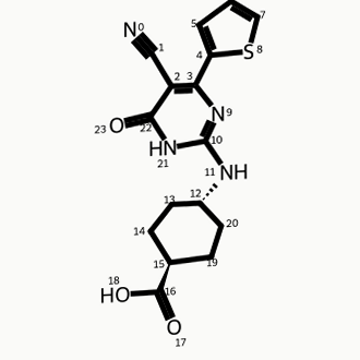 N#Cc1c(-c2cccs2)nc(N[C@H]2CC[C@H](C(=O)O)CC2)[nH]c1=O